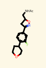 CC(=O)NCC1CC(c2ccc(C3CCOCC3)c(F)c2)=NO1